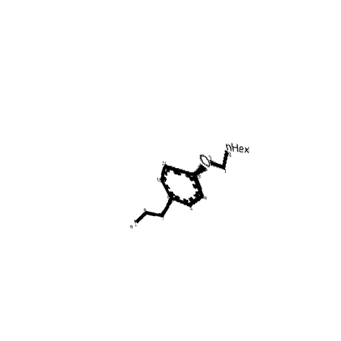 CCCCCCCOc1ccc(CCI)cc1